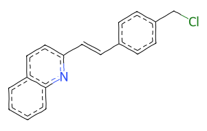 ClCc1ccc(C=Cc2ccc3ccccc3n2)cc1